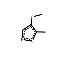 COc1[c]noc1C